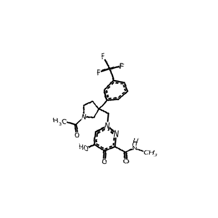 CNC(=O)c1nn(CC2(c3cccc(C(F)(F)F)c3)CCN(C(C)=O)C2)cc(O)c1=O